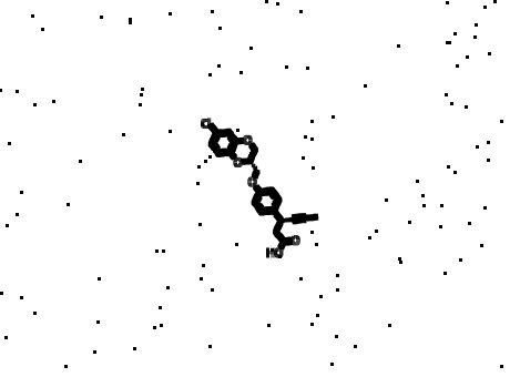 CC#C[C@@H](CC(=O)O)c1ccc(OC[C@H]2COc3cc(Cl)ccc3O2)cc1